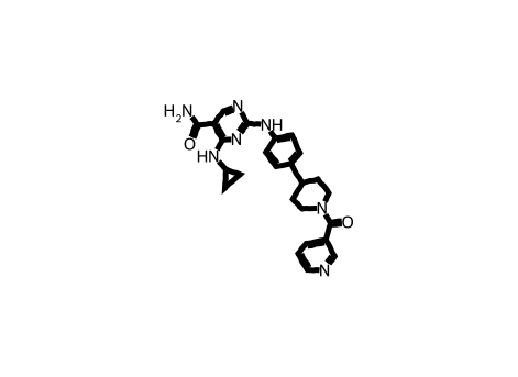 NC(=O)c1cnc(Nc2ccc(C3CCN(C(=O)c4cccnc4)CC3)cc2)nc1NC1CC1